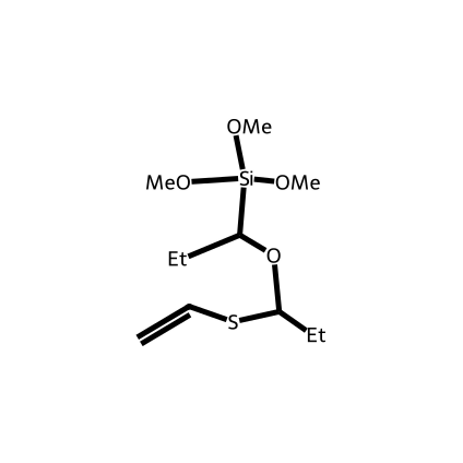 C=CSC(CC)OC(CC)[Si](OC)(OC)OC